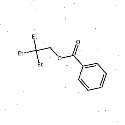 CCC(CC)(CC)COC(=O)c1ccccc1